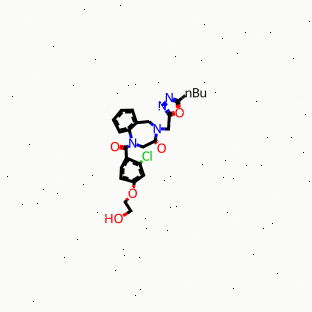 CCCCc1nnc(CN2Cc3ccccc3N(C(=O)c3ccc(OCCO)cc3Cl)CC2=O)o1